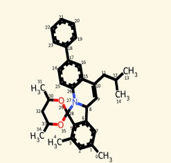 Cc1cc(C)c2c(c1)C1C=C(CC(C)C)c3cc(-c4ccccc4)ccc3N1C21OC(C)CC(C)O1